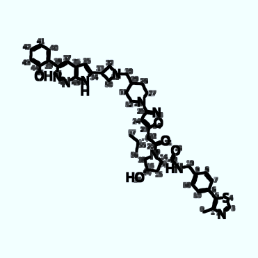 Cc1ncsc1-c1ccc(CNC(=O)[C@@H]2C[C@@H](O)CN2C(=O)[C@@H](c2cc(N3CCC(CN4CC(c5cc6cc(-c7ccccc7O)nnc6[nH]5)C4)CC3)no2)C(C)C)cc1